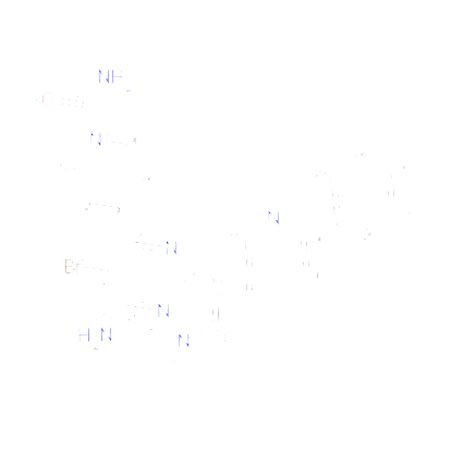 NC(=O)N1CCC(c2nc3c(-c4ccc(-c5ccccc5)nc4)cnn3c(N)c2Br)CC1